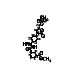 COC(=O)c1cccc(C(=O)NC(=N)c2ccc(N3CC(COS(C)(=O)=O)OC3=O)cc2)c1